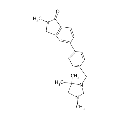 CN1CN(Cc2ccc(-c3ccc4c(c3)CN(C)C4=O)cc2)C(C)(C)C1